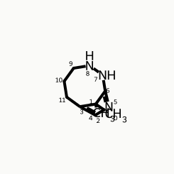 CC1(C)C2=CN=C1NNCCC2